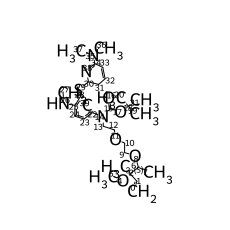 C=CC(C)(OC)[C@H](C)OCCOCCN(C(=O)OC(C)(C)C)c1ccc(NC)c(SC2CC=CC(N(C)C)=N2)c1